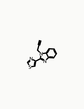 C#CCn1c(-c2cscn2)nc2ccccc21